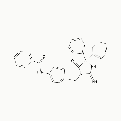 N=C1NC(c2ccccc2)(c2ccccc2)C(=O)N1Cc1ccc(NC(=O)c2ccccc2)cc1